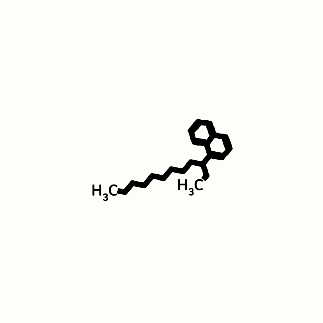 CCCCCCCCCC(CC)c1cccc2ccccc12